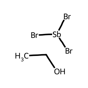 CCO.[Br][Sb]([Br])[Br]